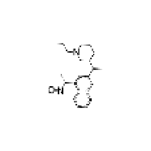 C=C(c1cc([C@@H](C)N=O)c2ccccc2c1)C1CCCN(CCC)C1